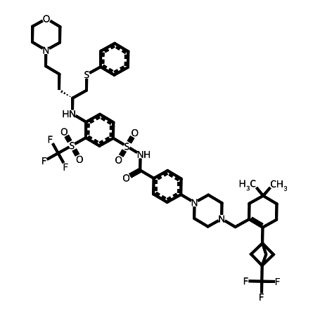 CC1(C)CCC(C23CC(C(F)(F)F)(C2)C3)=C(CN2CCN(c3ccc(C(=O)NS(=O)(=O)c4ccc(N[C@H](CCCN5CCOCC5)CSc5ccccc5)c(S(=O)(=O)C(F)(F)F)c4)cc3)CC2)C1